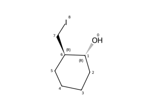 O[C@@H]1CCCC[C@H]1CI